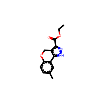 CCOC(=O)c1n[nH]c2c1COc1ccc(C)cc1-2